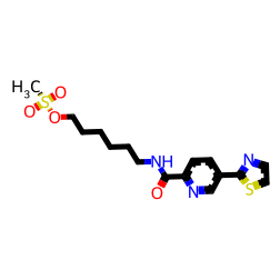 CS(=O)(=O)OCCCCCCNC(=O)c1ccc(-c2nccs2)cn1